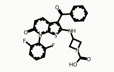 O=C(c1ccccc1)c1c(NC2CN(C(=O)O)C2)sc2c1ccc(=O)n2-c1c(F)cccc1F